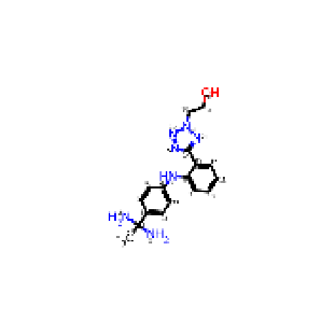 NC(N)(c1ccc(Nc2ccccc2-c2nnn(CCO)n2)cc1)C(F)(F)F